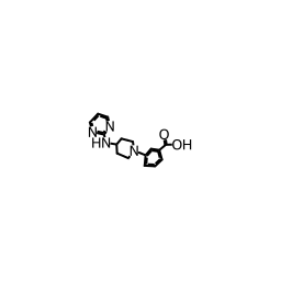 O=C(O)c1cccc(N2CCC(Nc3ncccn3)CC2)c1